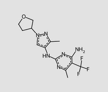 Cc1nn(C2CCOC2)cc1Nc1nc(C)c(C(F)(F)F)c(N)n1